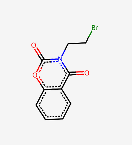 O=c1oc2ccccc2c(=O)n1CCBr